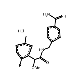 COC(C(=O)NCc1ccc(C(=N)N)cc1)c1cc(C)ccc1F.Cl